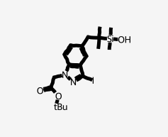 CC(C)(C)OC(=O)Cn1nc(I)c2cc(CC(C)(C)[Si](C)(C)O)ccc21